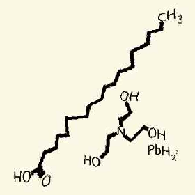 CCCCCCCCCCCCCCCCCC(=O)O.OCCN(CCO)CCO.[PbH2]